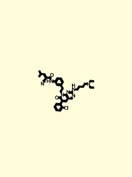 CCN(CC)CCCCNc1ncc2cc(-c3ccccc3Cl)c(=O)n(CCc3cccc(NC(=O)C(C#N)=CC(C)C)c3)c2n1